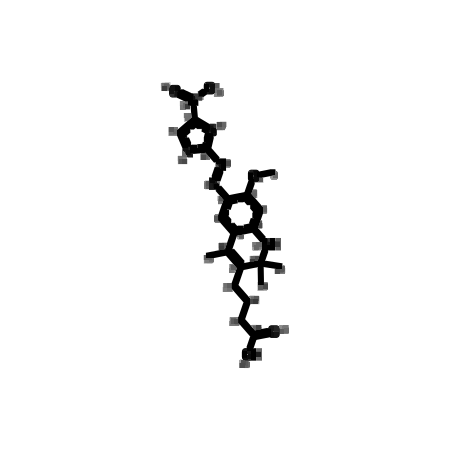 COc1cc2c(cc1/N=N/c1ncc([N+](=O)[O-])s1)C(C)=C(CCCC(=O)O)C(C)(C)N2